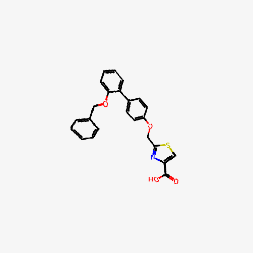 O=C(O)c1csc(COc2ccc(-c3ccccc3OCc3ccccc3)cc2)n1